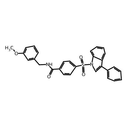 COc1cccc(CNC(=O)c2ccc(S(=O)(=O)n3cc(-c4ccccc4)c4ccccc43)cc2)c1